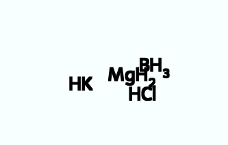 B.Cl.[KH].[MgH2]